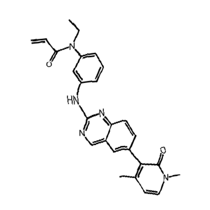 C=CC(=O)N(CC)c1cccc(Nc2ncc3cc(-c4c(C)ccn(C)c4=O)ccc3n2)c1